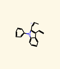 C=Cc1c(/C=C\C)n(-c2ccccc2)c2ccccc12